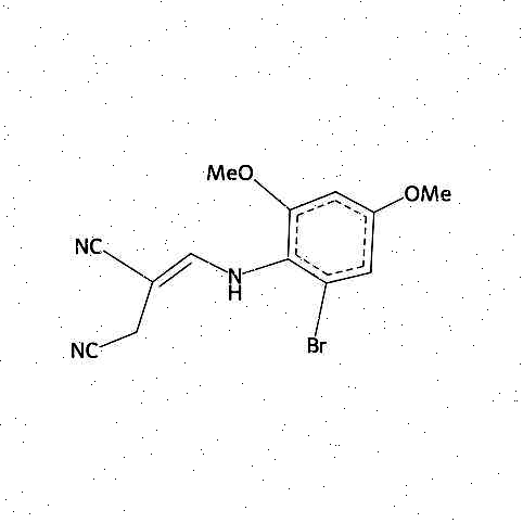 COc1cc(Br)c(NC=C(C#N)CC#N)c(OC)c1